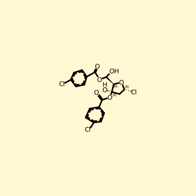 O=C(OC(O)[C@H]1O[C@H](Cl)C[C@@]1(O)OC(=O)c1ccc(Cl)cc1)c1ccc(Cl)cc1